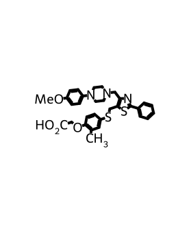 COc1ccc(N2CCN(Cc3nc(-c4ccccc4)sc3CSc3ccc(OCC(=O)O)c(C)c3)CC2)cc1